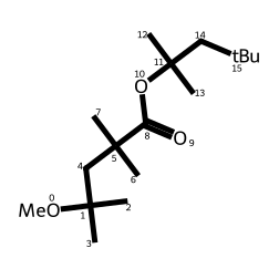 COC(C)(C)CC(C)(C)C(=O)OC(C)(C)CC(C)(C)C